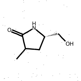 CC1C[C@@H](CO)NC1=O